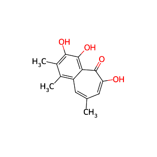 Cc1cc(O)c(=O)c2c(O)c(O)c(C)c(C)c2c1